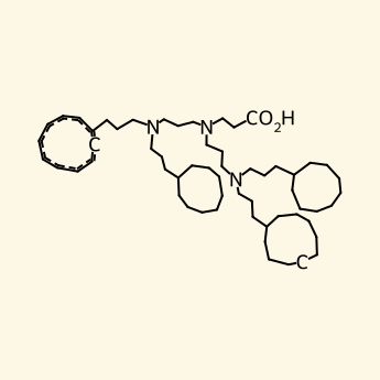 O=C(O)CCN(CCCN(CCCc1ccccccccc1)CCCC1CCCCCCCC1)CCCN(CCCC1CCCCCCCCC1)CCCC1CCCCCCCC1